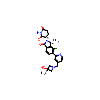 C[C@@H]1c2c(ccc(-c3cc(CN4CC(C)(O)C4)ccn3)c2F)C(=O)N1[C@H]1CCC(=O)NC1=O